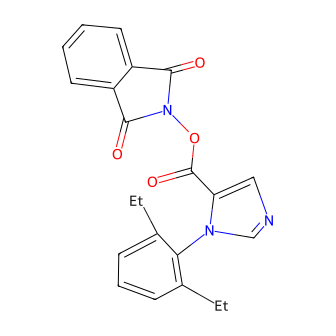 CCc1cccc(CC)c1-n1cncc1C(=O)ON1C(=O)c2ccccc2C1=O